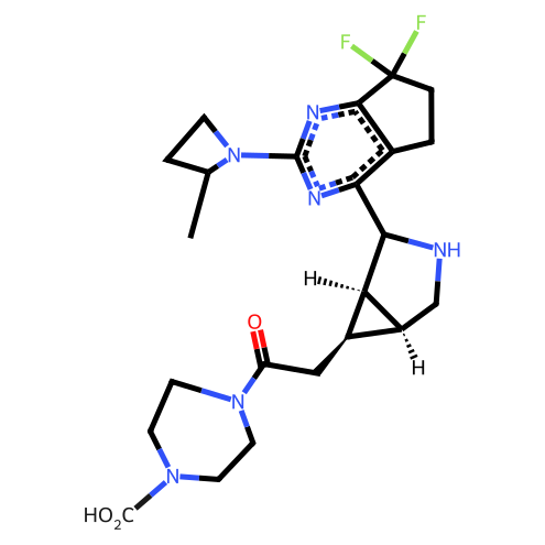 CC1CCN1c1nc(C2NC[C@H]3[C@@H](CC(=O)N4CCN(C(=O)O)CC4)[C@@H]23)c2c(n1)C(F)(F)CC2